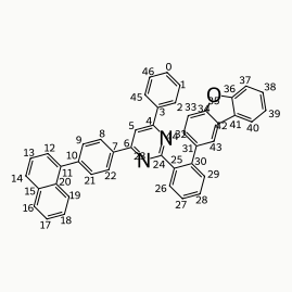 c1ccc(-c2cc(-c3ccc(-c4cccc5ccccc45)cc3)nc(-c3ccccc3-c3ccc4oc5ccccc5c4c3)n2)cc1